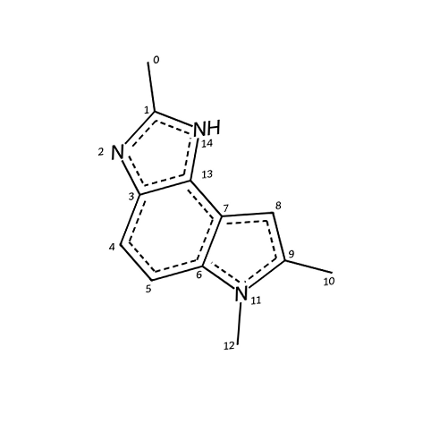 Cc1nc2ccc3c(cc(C)n3C)c2[nH]1